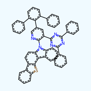 c1ccc(-c2nc(-c3ccccc3)nc(-c3cc(-c4c(-c5ccccc5)cccc4-c4ccccc4)cnc3-n3c4ccccc4c4c5sc6ccccc6c5ccc43)n2)cc1